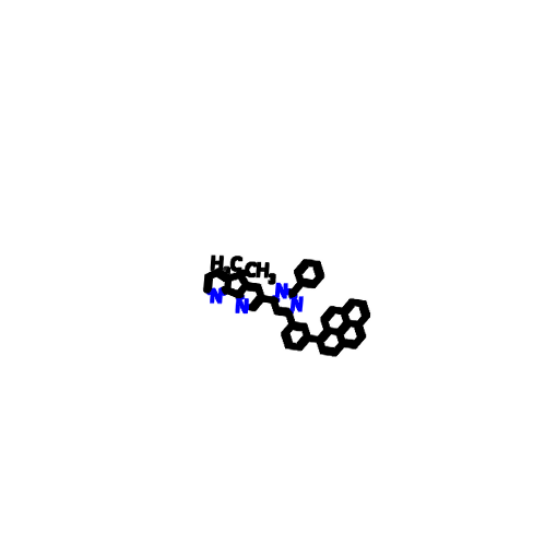 CC1(C)c2cccnc2-c2ncc(-c3cc(-c4cccc(-c5ccc6ccc7cccc8ccc5c6c78)c4)nc(-c4ccccc4)n3)cc21